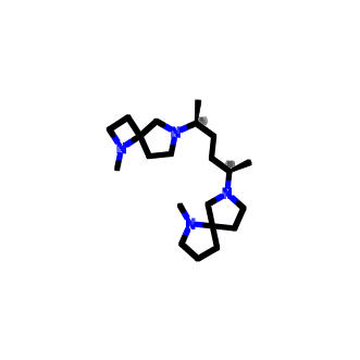 C[C@H](CC[C@H](C)N1CCC2(CCN2C)C1)N1CCC2(CCCN2C)C1